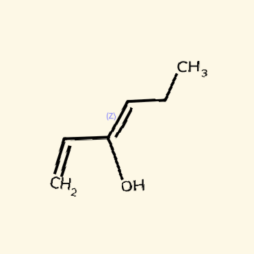 C=C/C(O)=C/CC